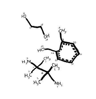 CC(C)(N)C(C)(C)N.Cc1ccccc1O.OCCO